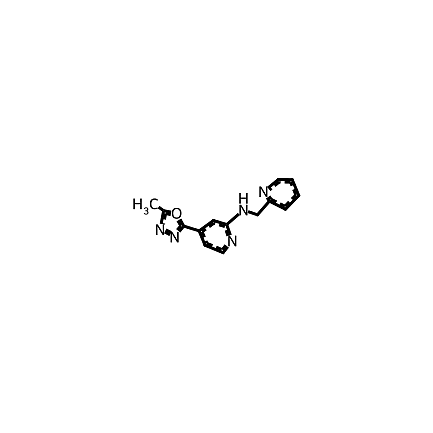 Cc1nnc(-c2ccnc(NCc3ccccn3)c2)o1